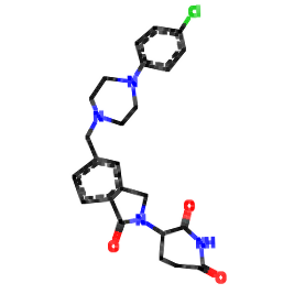 O=C1CCC(N2Cc3cc(CN4CCN(c5ccc(Cl)cc5)CC4)ccc3C2=O)C(=O)N1